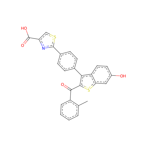 Cc1ccccc1C(=O)c1sc2cc(O)ccc2c1-c1ccc(-c2nc(C(=O)O)cs2)cc1